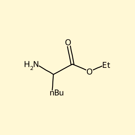 CCCCC(N)C(=O)OCC